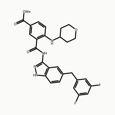 COC(=O)c1ccc(NC2CCOCC2)c(C(=O)Nc2n[nH]c3ccc(Cc4cc(F)cc(F)c4)cc23)c1